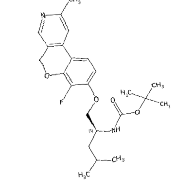 Cc1cc2c(cn1)COc1c-2ccc(OC[C@H](CC(C)C)NC(=O)OC(C)(C)C)c1F